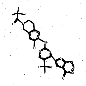 O=C(N1CCc2cc(Nc3ncc(C(F)(F)F)c(-c4cc5c(=O)[nH]ncc5s4)n3)c(Cl)cc2C1)C(F)(F)F